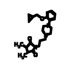 CC1C(=O)N(CCCN2CCN(c3ccccc3OCC3CC3)CC2)C(=O)C1C